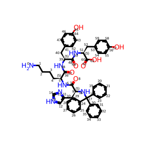 NCCCC[C@H](NC(=O)[C@H](Cc1c[nH]cn1)NC(c1ccccc1)(c1ccccc1)c1ccccc1)C(=O)N[C@@H](Cc1ccc(O)cc1)C(=O)N[C@@H](Cc1ccc(O)cc1)C(=O)O